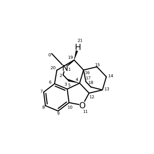 CN1CC[C@]23c4c5cccc4OC2C2CCC3(CC2)[C@H]1C5